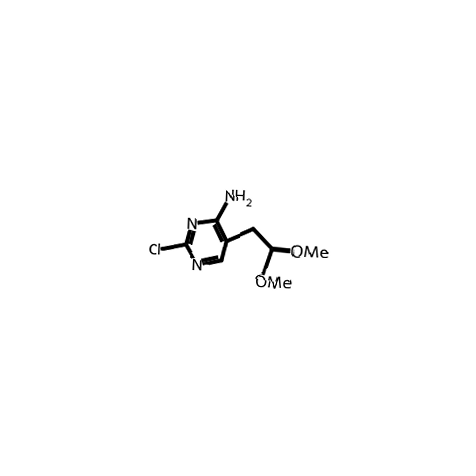 COC(Cc1cnc(Cl)nc1N)OC